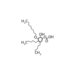 CCCCCCCCOc1c(O)c(OC(=O)O)cc(CCCCC)c1CCCCC